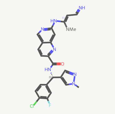 CN/C(=C\C=N)Nc1cc2nc(C(=O)N[C@@H](c3ccc(Cl)c(F)c3)c3cnn(C)c3)ccc2cn1